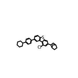 Clc1cc(C2CC3CCC2C3)cc2sc3ccc(-c4ccc(C5CCCCC5)cc4)cc3c12